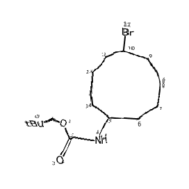 CC(C)(C)OC(=O)NC1CCCCC(Br)CCC1